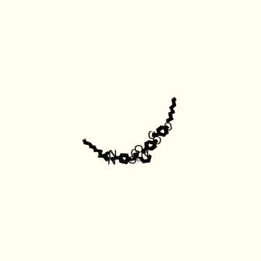 CCCCCCCCOc1ccc(C(=O)Oc2ccc(C(=O)N3CCC[C@H]3C(=O)Oc3ccc(-c4ncc(CCCCCCCC)cn4)cc3)cc2)cc1